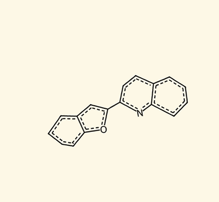 c1ccc2nc(-c3cc4ccccc4o3)ccc2c1